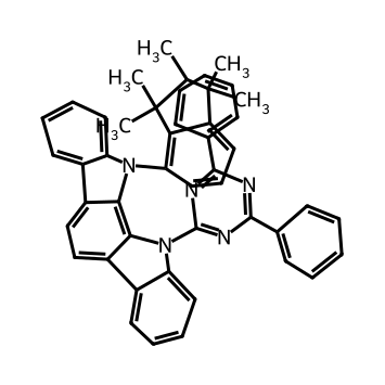 CC1C(C)(C)c2cccc(-n3c4ccccc4c4ccc5c6ccccc6n(-c6nc(-c7ccccc7)nc(-c7ccccc7)n6)c5c43)c2C1(C)C